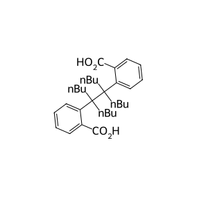 CCCCC(CCCC)(c1ccccc1C(=O)O)C(CCCC)(CCCC)c1ccccc1C(=O)O